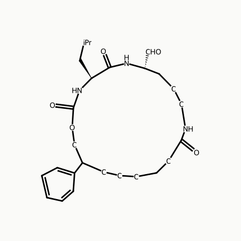 CC(C)C[C@@H]1NC(=O)OCC(c2ccccc2)CCCCCC(=O)NCCC[C@@H](C=O)NC1=O